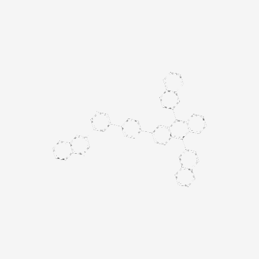 c1ccc2cc(-c3c4ccccc4c(-c4ccc5ccccc5c4)c4cc(-c5ccc(-c6cncc(-c7cnc8ccccc8c7)c6)cc5)ccc34)ccc2c1